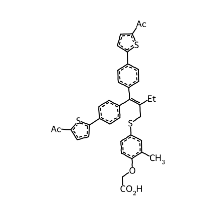 CCC(CSc1ccc(OCC(=O)O)c(C)c1)=C(c1ccc(-c2ccc(C(C)=O)s2)cc1)c1ccc(-c2ccc(C(C)=O)s2)cc1